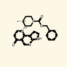 C[C@@H]1CCN(C(=O)OCc2ccccc2)C[C@@H]1n1ccc(=O)c2cnc3[nH]ccc3c21